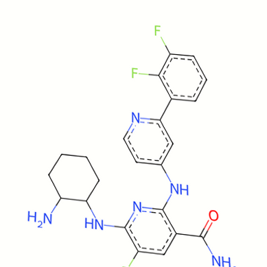 NC(=O)c1cc(F)c(NC2CCCCC2N)nc1Nc1ccnc(-c2cccc(F)c2F)c1